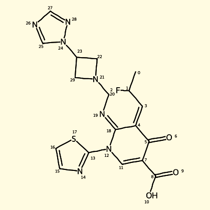 CC(F)/C=C1/C(=O)C(C(=O)O)=CN(c2nccs2)/C1=N/CN1CC(n2cncn2)C1